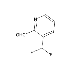 O=Cc1ncccc1C(F)F